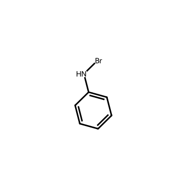 BrNc1ccccc1